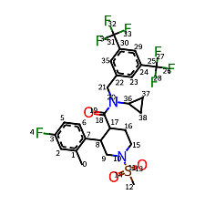 Cc1cc(F)ccc1C1CN(S(C)(=O)=O)CCC1C(=O)N(Cc1cc(C(F)(F)F)cc(C(F)(F)F)c1)C1CC1